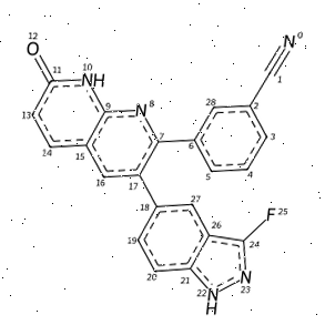 N#Cc1cccc(-c2nc3[nH]c(=O)ccc3cc2-c2ccc3[nH]nc(F)c3c2)c1